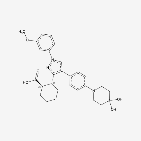 COc1cccc(-n2cc(-c3ccc(N4CCS(O)(O)CC4)cc3)c([C@@H]3CCCC[C@H]3C(=O)O)n2)c1